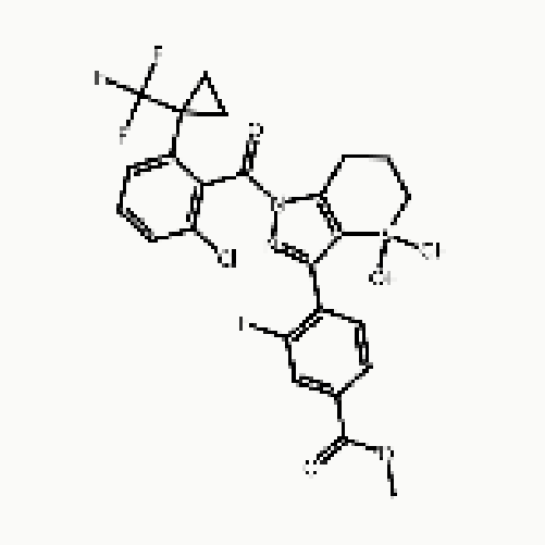 COC(=O)c1ccc(-c2nn(C(=O)c3c(Cl)cccc3C3(C(F)(F)F)CC3)c3c2S(O)(O)CCC3)c(F)c1